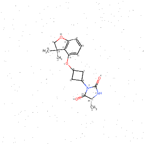 C[C@H]1NC(=O)N(C2CC(Oc3cccc4c3C(C)(C)CO4)C2)C1=O